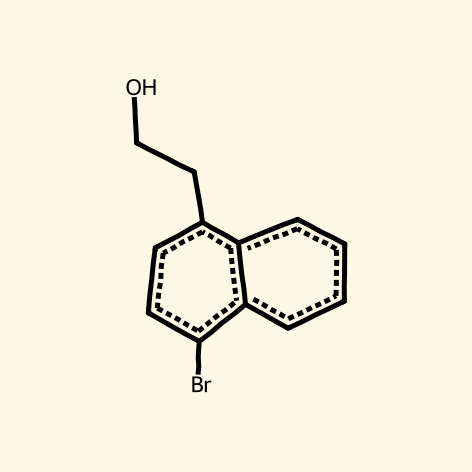 OCCc1ccc(Br)c2ccccc12